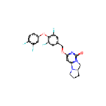 O=c1nc(OCc2cc(F)c(Oc3ccc(F)c(F)c3)c(F)c2)cc2n1CC1CCCN21